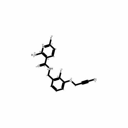 CCC#CCOc1cccc(CNC(=O)c2ccc(F)nc2N)c1F